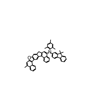 Cc1cc(C)c(N(c2ccc3c(c2)C(C)(C)c2ccccc2-3)c2cc3c(c4ccccc24)-c2cc4c(cc2C3)oc2cc(C)c3ccccc3c24)c(C)c1